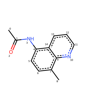 CC(=O)Nc1ccc(C)c2ncccc12